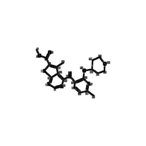 COC(=O)c1sc2ncnc(Nc3ccc(C)nc3OC3CCOCC3)c2c1C